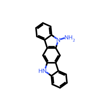 Nn1c2ccccc2c2cc3[nH]c4ccccc4c3cc21